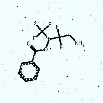 NCC(F)(F)C(OC(=O)c1ccccc1)C(F)(F)F